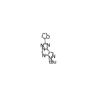 CC(C)(C)n1ncc2c1ncn1nc(-c3ccco3)nc21